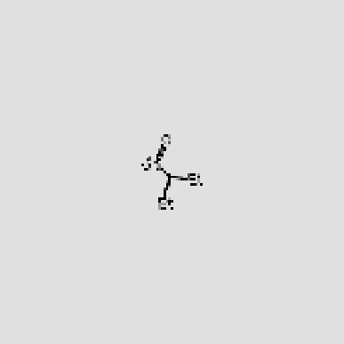 CC[CH](CC)[Sn]=[O]